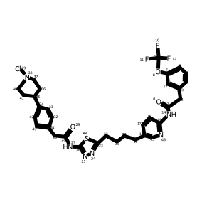 O=C(Cc1cccc(OC(F)(F)F)c1)Nc1ccc(CCCCc2nnc(NC(=O)Cc3ccc(C4CCN(Cl)CC4)cc3)s2)cn1